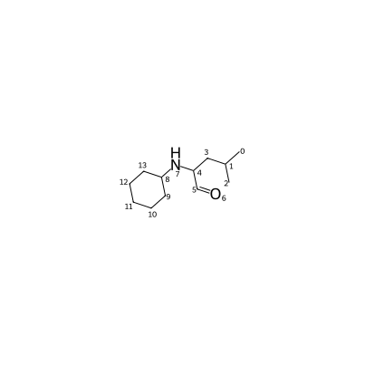 CC(C)CC(C=O)NC1CCCCC1